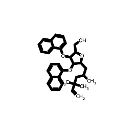 C=CC(C)(C)CC(C)CC1OC(CO)C(Oc2cccc3ccccc23)C1Oc1cccc2ccccc12